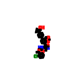 Cc1noc(-c2ccc(-c3ccc(C4(CO)CC4)cc3)c3c2OCOC3)c1NC(=O)OC(C)c1ccccc1Cl